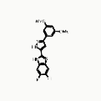 COc1cc(OC)cc(-c2cc(-c3nc4cc(Cl)c(F)cc4[nH]3)[nH]n2)c1